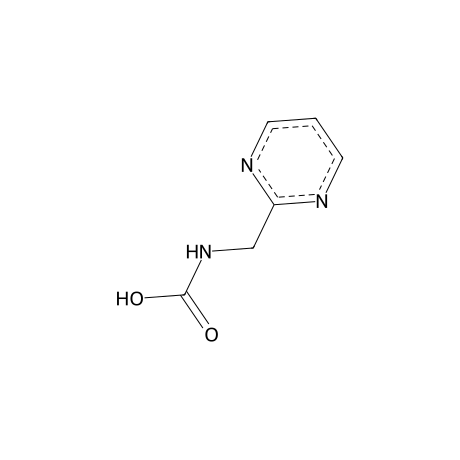 O=C(O)NCc1ncccn1